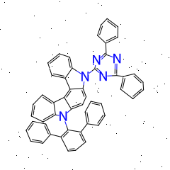 c1ccc(-c2nc(-c3ccccc3)nc(-n3c4ccccc4c4c5c6ccccc6n(-c6c(-c7ccccc7)cccc6-c6ccccc6)c5ccc43)n2)cc1